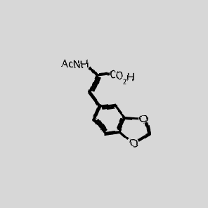 CC(=O)NC(=Cc1ccc2c(c1)OCO2)C(=O)O